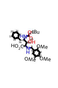 COc1cc(OC)c(OC)cc1CN[C@@H](C(=O)O)[C@H](O)[C@H](Cc1ccccc1)NC(=O)OC(C)(C)C